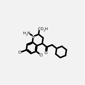 NN1c2cc(Cl)cc(Cl)c2C(C(=O)CC2CCCCC2)CC1C(=O)O